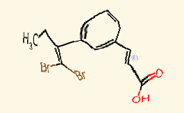 CCC(=C(Br)Br)c1cccc(/C=C/C(=O)O)c1